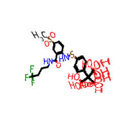 CS(=O)(=O)c1ccc(NSc2ccc(C(C(O)(O)O)(C(O)(O)O)C(O)(O)O)cc2)c(C(=O)NCCCC(F)(F)F)c1